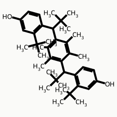 Cc1c(C)c(C(c2ccc(O)cc2C(C)(C)C)C(C)(C)C)c(C)c(C)c1C(c1ccc(O)cc1C(C)(C)C)C(C)(C)C